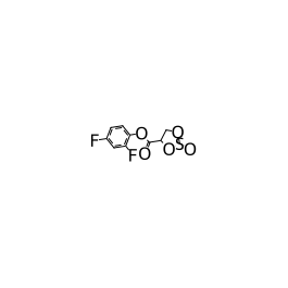 O=C(Oc1ccc(F)cc1F)C1COS(=O)O1